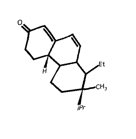 CCC1C2C=CC3=CC(=O)CC[C@H]3C2CC[C@]1(C)C(C)C